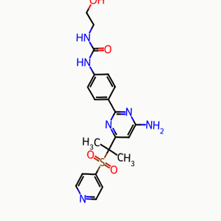 CC(C)(c1cc(N)nc(-c2ccc(NC(=O)NCCO)cc2)n1)S(=O)(=O)c1ccncc1